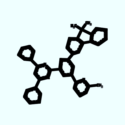 Cc1cccc(-c2cc(-c3ccc4c(c3)-c3ccccc3C4(C)C)cc(-c3nc(-c4ccccc4)cc(-c4ccccc4)n3)c2)n1